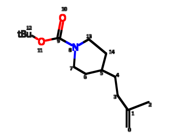 C=C(C)CCC1CCN(C(=O)OC(C)(C)C)CC1